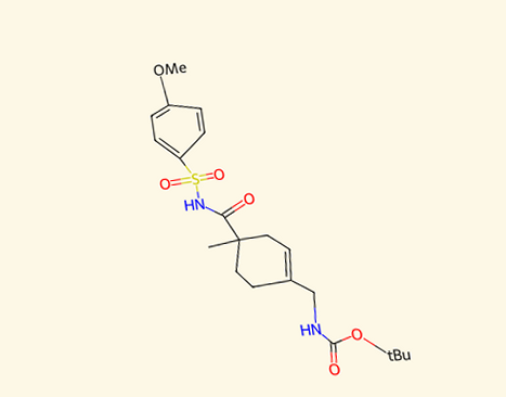 COc1ccc(S(=O)(=O)NC(=O)C2(C)CC=C(CNC(=O)OC(C)(C)C)CC2)cc1